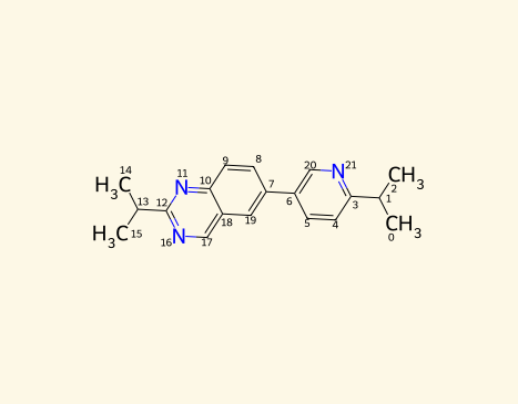 CC(C)c1ccc(-c2ccc3nc(C(C)C)ncc3c2)cn1